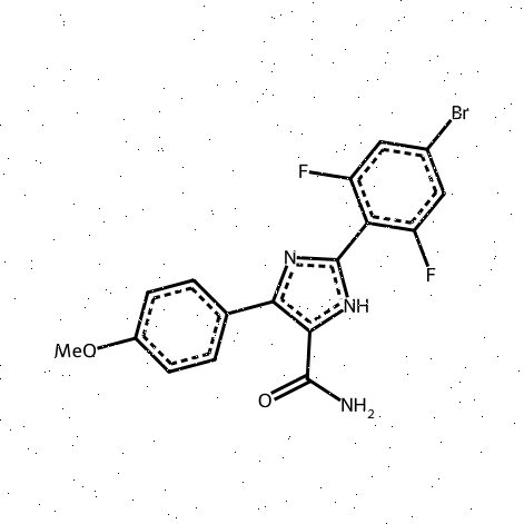 COc1ccc(-c2nc(-c3c(F)cc(Br)cc3F)[nH]c2C(N)=O)cc1